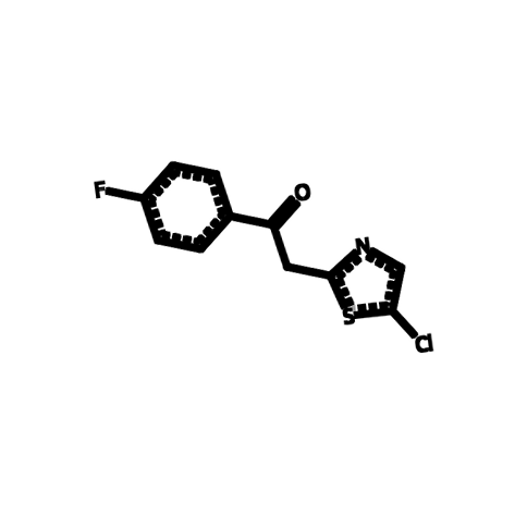 O=C(Cc1ncc(Cl)s1)c1ccc(F)cc1